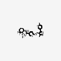 Cc1ccc(-c2noc(C)c2COc2ccc(C(=O)N[C@H]3CCCC(F)(F)[C@@H]3O)cn2)cn1